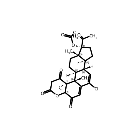 CC(=O)O[C@]1(C(C)=O)CC[C@H]2[C@@H]3C=C(Cl)C4=CC(=O)[C@]56C[C@]5(C(=O)CC(=O)O6)[C@]4(C)[C@H]3CC[C@@]21C